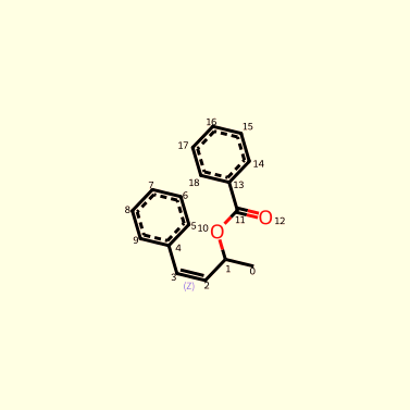 CC(/C=C\c1ccccc1)OC(=O)c1ccccc1